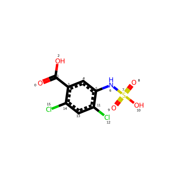 O=C(O)c1cc(NS(=O)(=O)O)c(Cl)cc1Cl